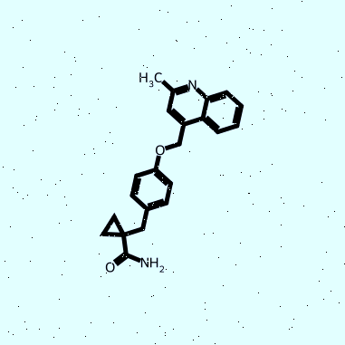 Cc1cc(COc2ccc(CC3(C(N)=O)CC3)cc2)c2ccccc2n1